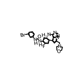 Nc1ncnn2c(CN3CCOCC3)cc(-c3ccc(NC(=O)Nc4cccc(Br)c4)c(F)c3)c12